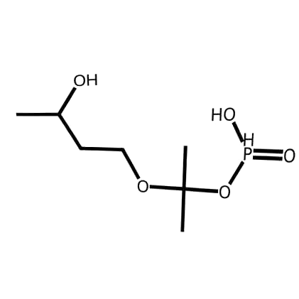 CC(O)CCOC(C)(C)O[PH](=O)O